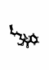 C#C/C=C\C=C/CC(OC)(OC)C(=O)c1ccccc1